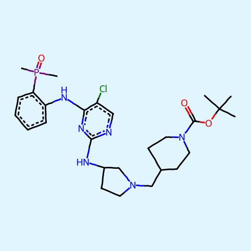 CC(C)(C)OC(=O)N1CCC(CN2CCC(Nc3ncc(Cl)c(Nc4ccccc4P(C)(C)=O)n3)C2)CC1